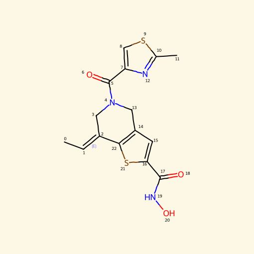 C/C=C1\CN(C(=O)c2csc(C)n2)Cc2cc(C(=O)NO)sc21